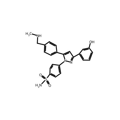 CNCc1ccc(-c2cc(-c3cccc(O)c3)nn2-c2ccc(S(N)(=O)=O)cc2)cc1